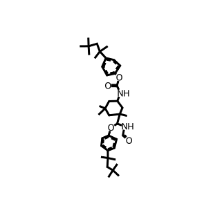 CC(C)(C)CC(C)(C)c1ccc(OC(=O)NC2CC(C)(C)CC(C)(C(NC=O)Oc3ccc(C(C)(C)CC(C)(C)C)cc3)C2)cc1